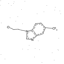 [O]CCn1cnc2cc(C(F)(F)F)ccc21